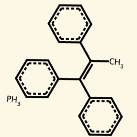 CC(=C(c1ccccc1)c1ccccc1)c1ccccc1.P